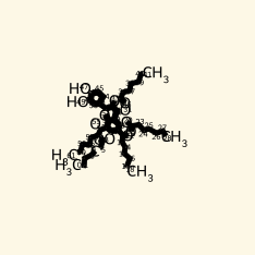 CCCCCCC(=O)Oc1c(C(=O)CCCCCC)c(OC(=O)CCCCCC)c2c(=O)c(OC(=O)CCCCCC)c(-c3ccc(O)c(O)c3)oc2c1C(=O)CCCCCC